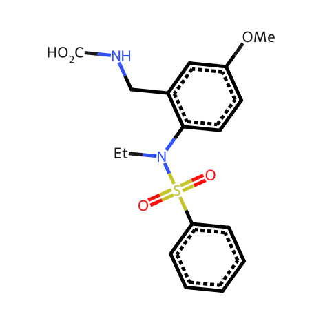 CCN(c1ccc(OC)cc1CNC(=O)O)S(=O)(=O)c1ccccc1